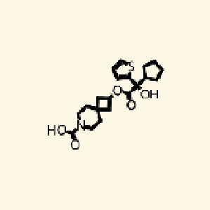 O=C(O)N1CCC2(CC1)CC(OC(=O)C(O)(c1cccs1)C1CCCC1)C2